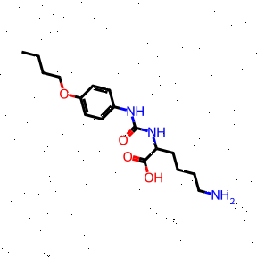 CCCCOc1ccc(NC(=O)NC(CCCCN)C(=O)O)cc1